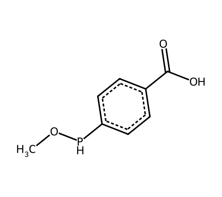 COPc1ccc(C(=O)O)cc1